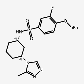 CCCCOc1ccc(S(=O)(=O)N[C@H]2CCC[C@@H](n3cnnc3C)C2)cc1F